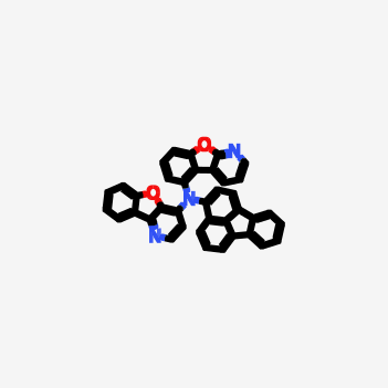 c1ccc2c(c1)-c1cccc3c(N(c4ccnc5c4oc4ccccc45)c4cccc5oc6ncccc6c45)ccc-2c13